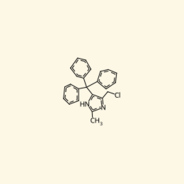 Cc1nc(CCl)c(C(c2ccccc2)(c2ccccc2)c2ccccc2)[nH]1